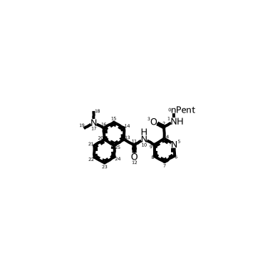 CCCCCNC(=O)c1ncccc1NC(=O)c1ccc(N(C)C)c2ccccc12